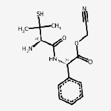 CC(C)(S)[C@H](N)C(=O)N[C@H](C(=O)OCC#N)c1ccccc1